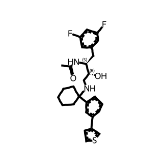 CC(=O)N[C@@H](Cc1cc(F)cc(F)c1)[C@H](O)CNC1(c2cccc(-c3ccsc3)c2)CCCCC1